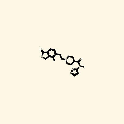 Cc1c(CCN2CCC(C(=O)N(C)c3ccns3)CC2)ccc2c1COC2=O